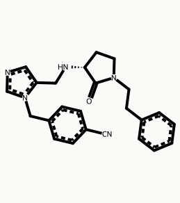 N#Cc1ccc(Cn2cncc2CN[C@@H]2CCN(CCc3ccccc3)C2=O)cc1